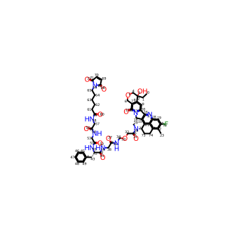 CC[C@@]1(O)COCc2c1cc1n(c2=O)Cc2c-1nc1cc(F)c(C)c3c1c2[C@@H](N(C)C(=O)COCNC(=O)CNC(=O)[C@H](Cc1ccccc1)NC(=O)CNC(=O)CNC(=O)CCCCCN1C(=O)C=CC1=O)CC3